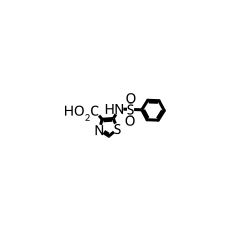 O=C(O)c1ncsc1NS(=O)(=O)c1ccccc1